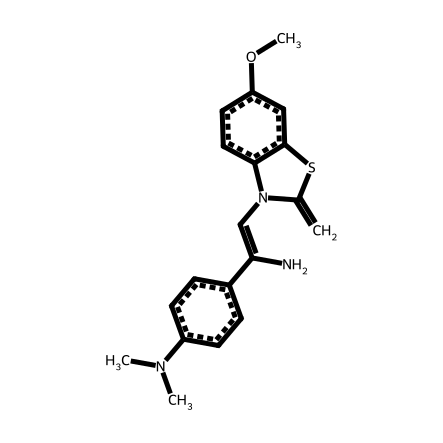 C=C1Sc2cc(OC)ccc2N1/C=C(\N)c1ccc(N(C)C)cc1